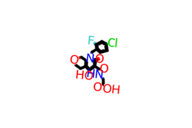 O=C(O)CNC(=O)c1c(O)c2c(n(Cc3ccc(Cl)cc3F)c1=O)COCC2